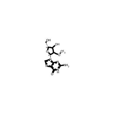 Nc1nc2c(ncn2[C@@H]2O[C@H](CO)C(O)C2OC(F)(F)F)c(=O)[nH]1